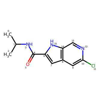 CC(C)NC(=O)c1cc2cc(Cl)ncc2[nH]1